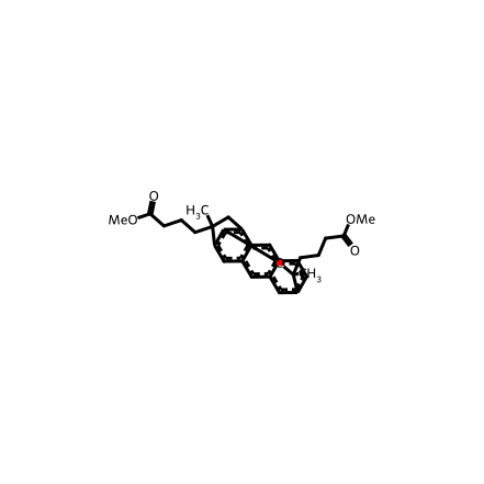 COC(=O)CCCC1(C)Cc2c3cc4cc5cc1ccc5cc4c2CC3(C)CCCC(=O)OC